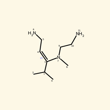 CC(C)/C(=C/CN)N(C)CCN